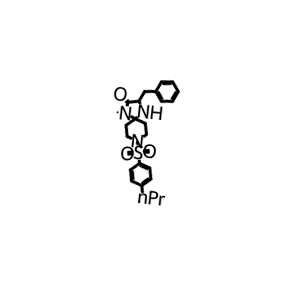 CCCc1ccc(S(=O)(=O)N2CCC3(CC2)[N]C(=O)C(Cc2ccccc2)N3)cc1